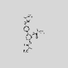 C=C(C(=O)Oc1ccc(-c2ccc(OC(=O)C(=C)C(F)(F)F)cc2OC(=O)C(=C)C(F)(F)F)cc1)C(F)(F)F